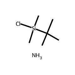 CC(C)(C)[Si](C)(C)Cl.N